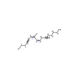 CCCC#C/C=C(C)\C=C/CNCCCCC